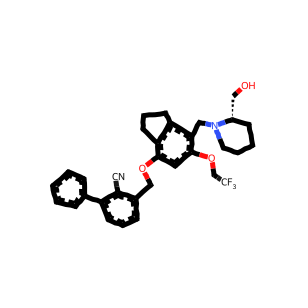 N#Cc1c(COc2cc(OCC(F)(F)F)c(CN3CCCC[C@H]3CO)c3c2CCC3)cccc1-c1ccccc1